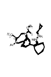 CC(=O)N1c2ccc(C3=C(NNCC4CC4)CCCC=C3)cc2N(C(=O)OC(C)C)C[C@@H]1C